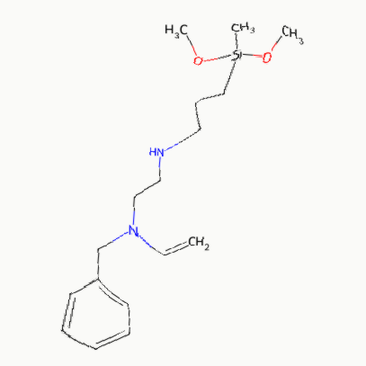 C=CN(CCNCCC[Si](C)(OC)OC)Cc1ccccc1